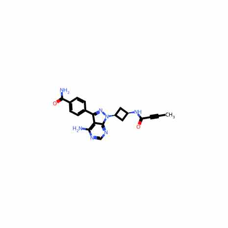 CC#CC(=O)N[C@H]1C[C@@H](n2nc(-c3ccc(C(N)=O)cc3)c3c(N)ncnc32)C1